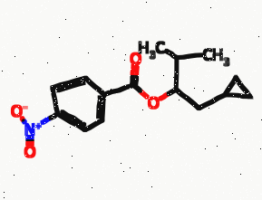 CC(C)C(CC1CC1)OC(=O)c1ccc([N+](=O)[O-])cc1